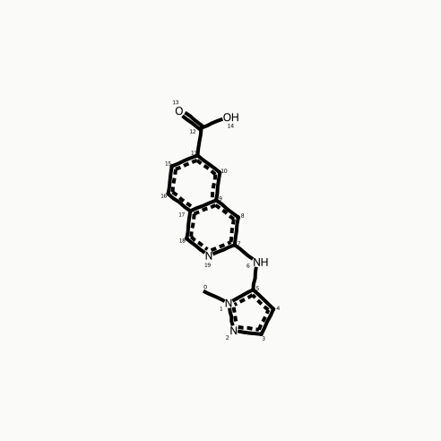 Cn1nccc1Nc1cc2cc(C(=O)O)ccc2cn1